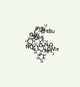 COC(=O)N(Cc1ccc([C@@H](CO[Si](C)(C)C(C)(C)C)N(CC(C)C)S(=O)(=O)c2ccc([N+](=O)[O-])cc2)s1)C(=O)[C@@H](N)C(c1ccccc1)c1ccccc1